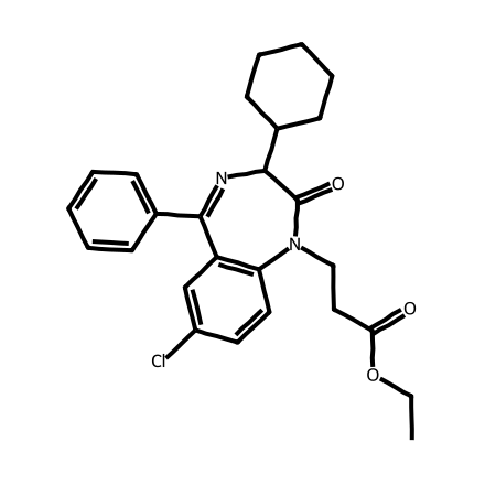 CCOC(=O)CCN1C(=O)C(C2CCCCC2)N=C(c2ccccc2)c2cc(Cl)ccc21